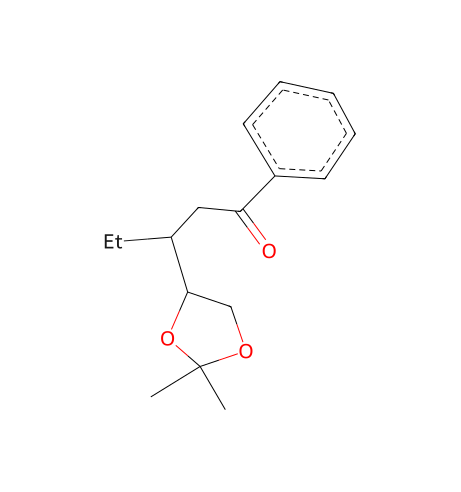 CCC(CC(=O)c1ccccc1)C1COC(C)(C)O1